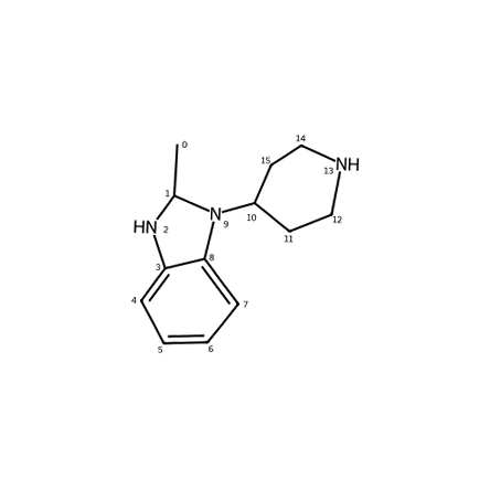 CC1Nc2ccccc2N1C1CCNCC1